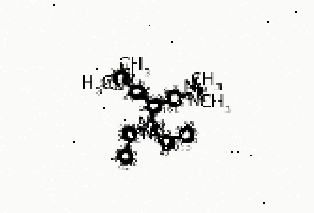 Cc1cc(C)nc(-c2ccc(-c3cc(-c4ccc(-c5nc(C)cc(C)n5)cc4)cc(-c4nc(-c5cccc(-c6ccccc6)c5)nc(-c5cccc(-c6ccccc6)c5)n4)c3)cc2)n1